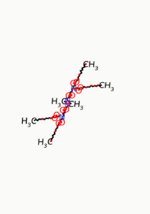 CCCCCCCCCCCCOC(=O)CCN(CCCC(=O)OCCN1CC(C)N(CCOC(=O)CCCN(CCC(=O)OCCCCCCCCCCCC)CCC(=O)OCCCCCCCCCCCC)CC1C)CCC(=O)OCCCCCCCCCCCC